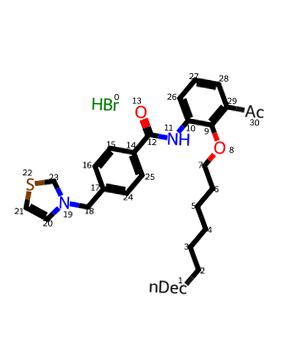 Br.CCCCCCCCCCCCCCCCOc1c(NC(=O)c2ccc(CN3C=CSC3)cc2)cccc1C(C)=O